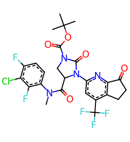 CN(C(=O)C1CN(C(=O)OC(C)(C)C)C(=O)N1c1cc(C(F)(F)F)c2c(n1)C(=O)CC2)c1ccc(F)c(Cl)c1F